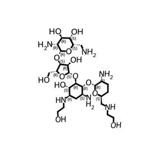 NC[C@@H]1O[C@H](O[C@H]2[C@@H](O)[C@H](O[C@@H]3[C@@H](O)[C@H](NCCO)C[C@H](N)[C@H]3O[C@H]3O[C@H](CNCCO)CC[C@H]3N)O[C@@H]2CO)[C@H](N)[C@@H](O)[C@@H]1O